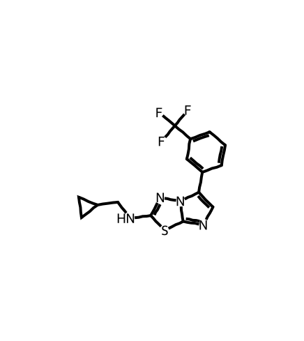 FC(F)(F)c1cccc(-c2cnc3sc(NCC4CC4)nn23)c1